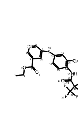 CCOC(=O)c1cncc(Sc2ccc(NC(=O)C(C)(O)C(F)(F)F)c(Cl)c2)c1